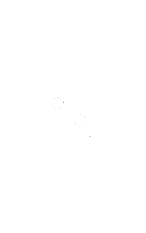 CC[S+]([O-])c1ccc(S(=O)(=O)c2ccc(NC(=O)[C@@](C)(O)C(F)(F)F)c(F)c2)cc1